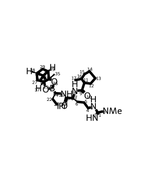 CNC(=N)NCCC[C@H](NC(=O)C1CCCCC1C)C(=O)N[C@@H](CC(C)C)B1O[C@@H]2C[C@@H]3C[C@@H](C3(C)C)[C@]2(C)O1